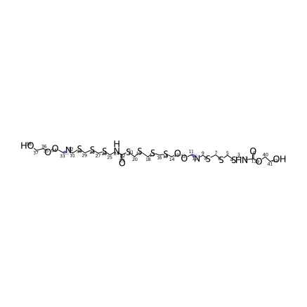 O=C(NCSCSCSC/N=C/OOCSCSCSCSC(=O)NCSCSCSC/N=C/OOCCO)OCCO